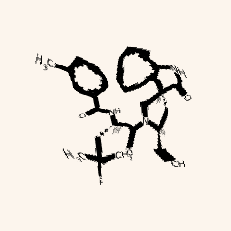 C#C[C@@H]1C[C@@]2(CN1C(=O)[C@H](CC(C)(C)F)NC(=O)c1cccc(C)c1)C(=O)Nc1ccccc12